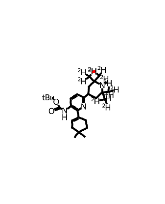 [2H]C([2H])([2H])C1(C([2H])([2H])[2H])CC(c2ccc(NC(=O)OC(C)(C)C)c(C3=CCC(C)(C)CC3)n2)CC(C([2H])([2H])[2H])(C([2H])([2H])[2H])N1C